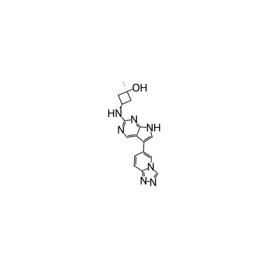 C[C@]1(O)C[C@@H](Nc2ncc3c(-c4ccc5nncn5c4)c[nH]c3n2)C1